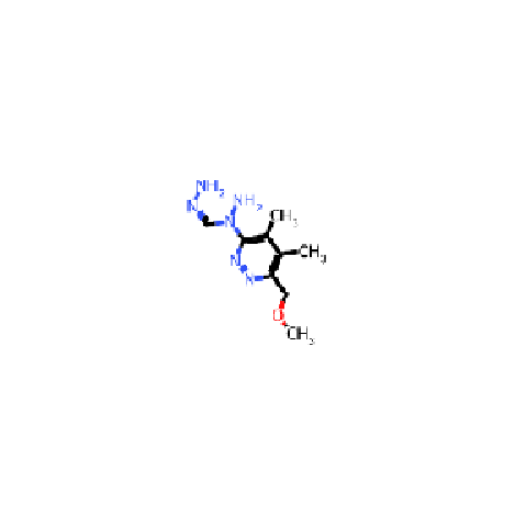 COCc1nnc(N(N)/C=N\N)c(C)c1C